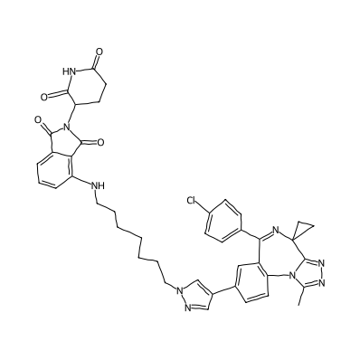 Cc1nnc2n1-c1ccc(-c3cnn(CCCCCCCNc4cccc5c4C(=O)N(C4CCC(=O)NC4=O)C5=O)c3)cc1C(c1ccc(Cl)cc1)=NC21CC1